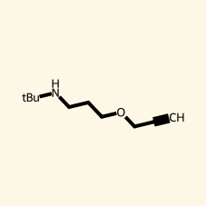 C#CCOCCCNC(C)(C)C